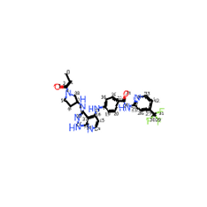 CCC(=O)N1CCC(Nc2n[nH]c3nccc(Nc4ccc(C(=O)Nc5cc(C(F)(F)F)ccn5)cc4)c23)C1